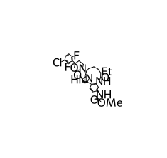 CC[C@H]1CCC[C@H](N2CCC(c3c(F)ccc(Cl)c3F)OC2=O)c2nc(c[nH]2)-c2ccc(NC(=O)OC)cc2NC1=O